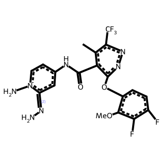 COc1c(Oc2nnc(C(F)(F)F)c(C)c2C(=O)Nc2ccn(N)/c(=N\N)c2)ccc(F)c1F